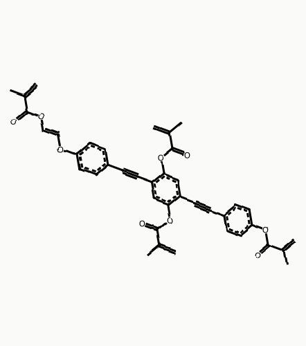 C=C(C)C(=O)O/C=C/Oc1ccc(C#Cc2cc(OC(=O)C(=C)C)c(C#Cc3ccc(OC(=O)C(=C)C)cc3)cc2OC(=O)C(=C)C)cc1